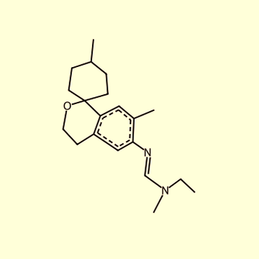 CCN(C)/C=N/c1cc2c(cc1C)C1(CCC(C)CC1)OCC2